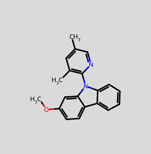 COc1ccc2c3ccccc3n(-c3ncc(C)cc3C)c2c1